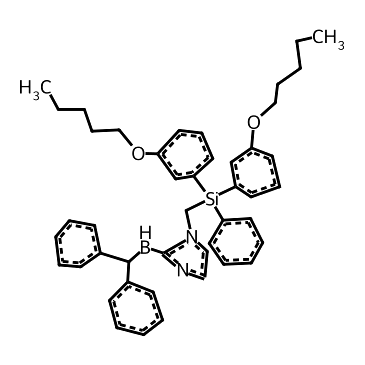 CCCCCOc1cccc([Si](Cn2ccnc2BC(c2ccccc2)c2ccccc2)(c2ccccc2)c2cccc(OCCCCC)c2)c1